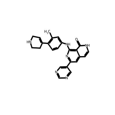 Cc1cc(Nc2nc(-c3cncnc3)cc3cc[nH]c(=O)c23)ccc1C1=CCNCC1